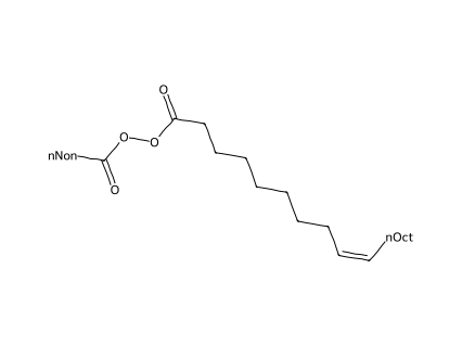 CCCCCCCC/C=C\CCCCCCCC(=O)OOC(=O)CCCCCCCCC